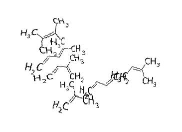 C=C(C)C.C=CC(=C)C.C=CC=C.C=CC=CC.CC(C)=C(C)C.CC=C(C)C